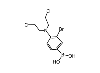 OB(O)c1ccc(N(CCCl)CCCl)c(Br)c1